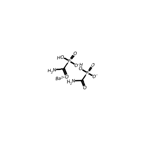 NC(=O)P(=O)([O-])O.NC(=O)P(=O)([O-])O.[Ba+2]